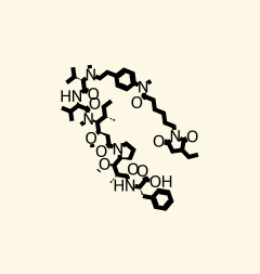 CCC1CC(=O)N(CCCCCC(=O)N(C)c2ccc(CCN(C)[C@H](C(=O)N[C@H](C(=O)N(C)[C@@H]([C@@H](C)CC)[C@@H](CC(=O)N3CCC[C@H]3[C@H](OC)[C@@H](C)C(=O)N[C@@H](Cc3ccccc3)C(=O)O)OC)C(C)C)C(C)C)cc2)C1=O